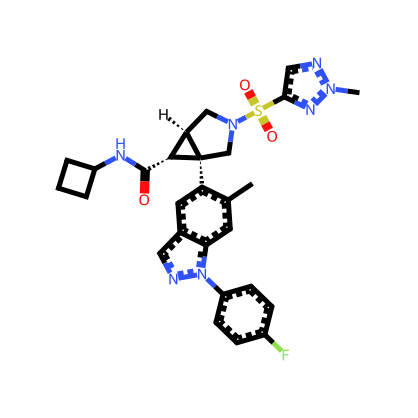 Cc1cc2c(cnn2-c2ccc(F)cc2)cc1[C@@]12CN(S(=O)(=O)c3cnn(C)n3)C[C@@H]1[C@H]2C(=O)NC1CCC1